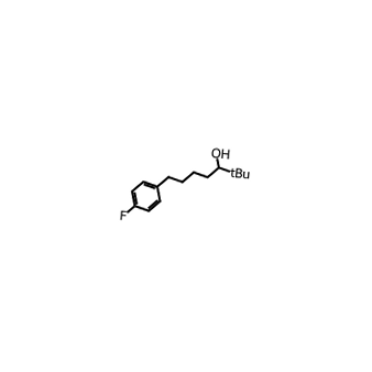 CC(C)(C)C(O)CCCCc1ccc(F)cc1